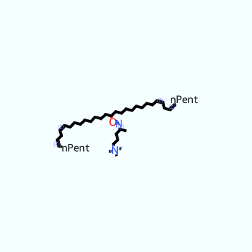 CCCCC/C=C\C/C=C\CCCCCCCCC(CCCCCCCC/C=C\C/C=C\CCCCC)O/N=C(/C)CCC[N+](C)(C)C